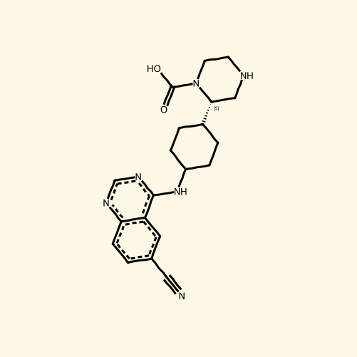 N#Cc1ccc2ncnc(NC3CCC([C@H]4CNCCN4C(=O)O)CC3)c2c1